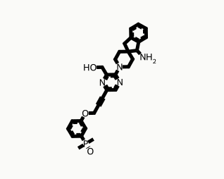 CP(C)(=O)c1cccc(OCC#Cc2cnc(N3CCC4(CC3)Cc3ccccc3C4N)c(CO)n2)c1